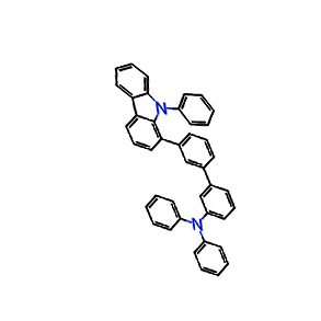 c1ccc(N(c2ccccc2)c2cccc(-c3cccc(-c4cccc5c6ccccc6n(-c6ccccc6)c45)c3)c2)cc1